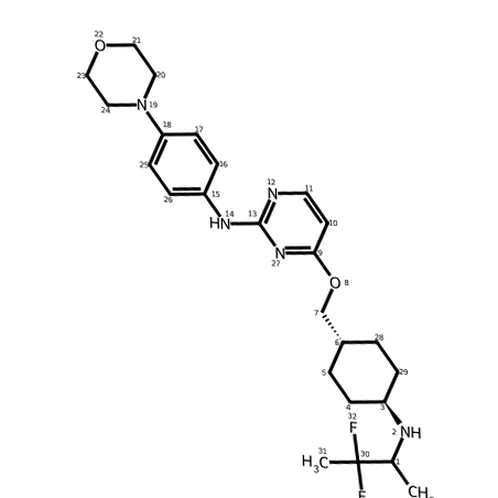 CC(N[C@H]1CC[C@H](COc2ccnc(Nc3ccc(N4CCOCC4)cc3)n2)CC1)C(C)(F)F